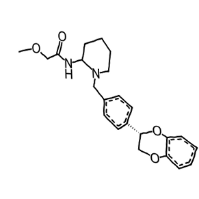 COCC(=O)NC1CCCCN1Cc1ccc([C@H]2COc3ccccc3O2)cc1